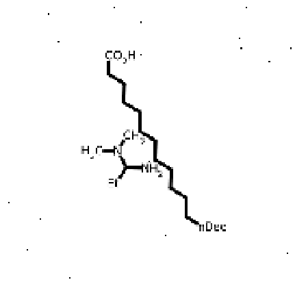 CCC(N)N(C)C.CCCCCCCCCCCCCCCCCCCCCC(=O)O